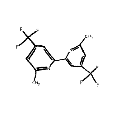 Cc1cc(C(F)(F)F)cc(-c2cc(C(F)(F)F)cc(C)n2)n1